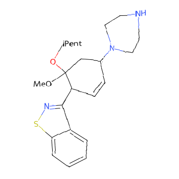 CCCC(C)OC1(OC)C[C](N2CCNCC2)C=CC1c1nsc2ccccc12